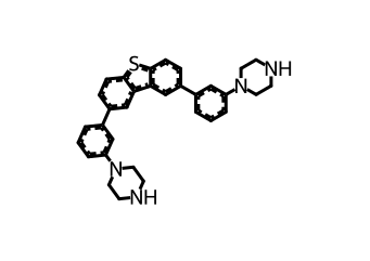 c1cc(-c2ccc3sc4ccc(-c5cccc(N6CCNCC6)c5)cc4c3c2)cc(N2CCNCC2)c1